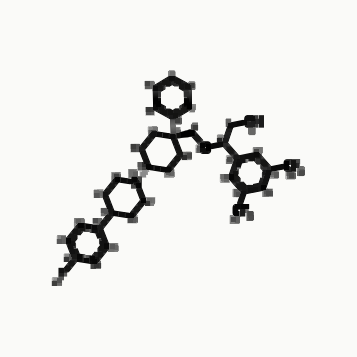 OCC(OC[C@]1(c2ccccc2)CC[C@@H](N2CCC(c3ccc(F)cc3)CC2)CC1)c1cc(C(F)(F)F)cc(C(F)(F)F)c1